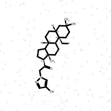 C[C@@]1(O)CC[C@]2(CF)C3CC[C@@]4(C)C(CC[C@@H]4C(=O)Cn4cc(C#N)cn4)[C@@H]3CC[C@@H]2C1